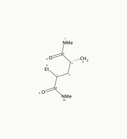 CCC(C[C@@H](C)C(=O)NC)C(=O)NC